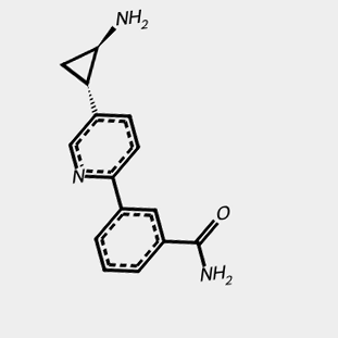 NC(=O)c1cccc(-c2ccc([C@@H]3C[C@H]3N)cn2)c1